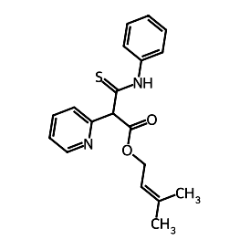 CC(C)=CCOC(=O)C(C(=S)Nc1ccccc1)c1ccccn1